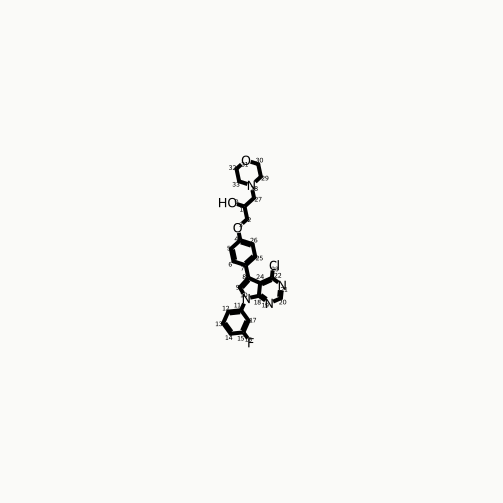 OC(COc1ccc(-c2cn(-c3cccc(F)c3)c3ncnc(Cl)c23)cc1)CN1CCOCC1